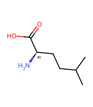 CC(C)CC[C@@H](N)C(=O)O